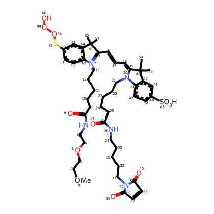 COCCOCCNC(=O)CCCCC[N+]1=C(C=CC=C2N(CCCCCC(=O)NCCCCCN3C(=O)C=CC3=O)c3ccc(S(=O)(=O)O)cc3C2(C)C)C(C)(C)c2cc(SOOO)ccc21